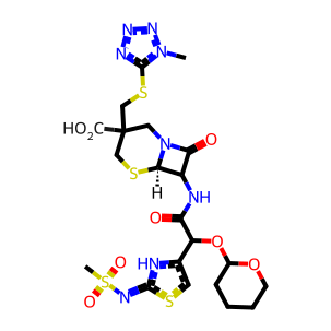 Cn1nnnc1SCC1(C(=O)O)CS[C@@H]2C(NC(=O)C(OC3CCCCO3)c3csc(=NS(C)(=O)=O)[nH]3)C(=O)N2C1